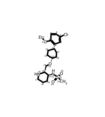 CCOc1ccc(Cl)cc1[C@H]1CC[C@@H](OC[C@@H]2NCCC[C@@H]2NS(C)(=O)=O)CC1